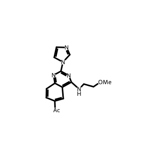 COCCNc1nc(-n2ccnc2)nc2ccc(C(C)=O)cc12